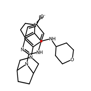 [O-][S+]1CCC2=C1C(NC1CCOCC1)NC(N1C3CCC1CN(c1ccc(Br)cc1)C3)=N2